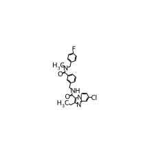 CCc1nc2cc(Cl)ccn2c1C(=O)NCc1cccc(C(=O)N(C)Cc2ccc(F)cc2)c1